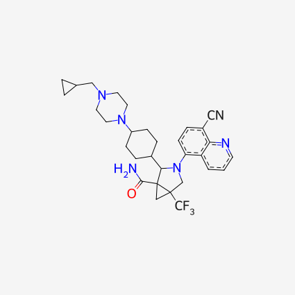 N#Cc1ccc(N2CC3(C(F)(F)F)CC3(C(N)=O)C2C2CCC(N3CCN(CC4CC4)CC3)CC2)c2cccnc12